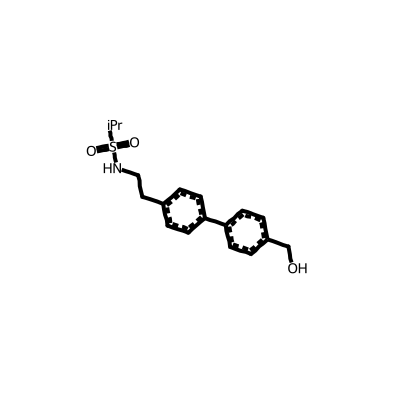 CC(C)S(=O)(=O)NCCc1ccc(-c2ccc(CO)cc2)cc1